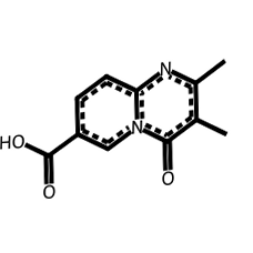 Cc1nc2ccc(C(=O)O)cn2c(=O)c1C